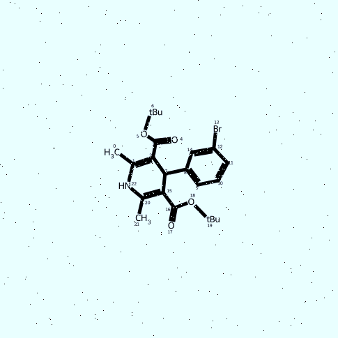 CC1=C(C(=O)OC(C)(C)C)C(c2cccc(Br)c2)C(C(=O)OC(C)(C)C)=C(C)N1